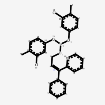 Cc1ccc(OB(OC/C=C(/c2ccccc2)c2ccccn2)Oc2ccc(C)c(Cl)c2)cc1Cl